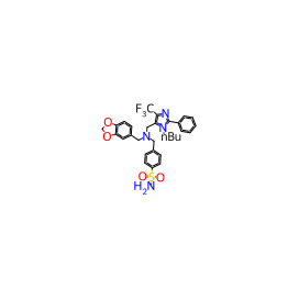 CCCCn1c(-c2ccccc2)nc(C(F)(F)F)c1CN(Cc1ccc(S(N)(=O)=O)cc1)Cc1ccc2c(c1)OCO2